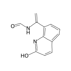 C=C(NC=O)c1cccc2ccc(O)nc12